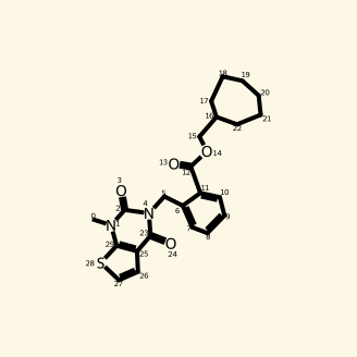 Cn1c(=O)n(Cc2ccccc2C(=O)OCC2CCCCCC2)c(=O)c2ccsc21